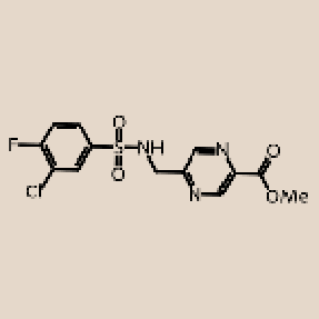 COC(=O)c1cnc(CNS(=O)(=O)c2ccc(F)c(Cl)c2)cn1